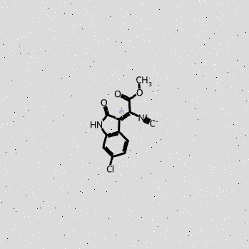 [C-]#[N+]/C(C(=O)OC)=C1/C(=O)Nc2cc(Cl)ccc21